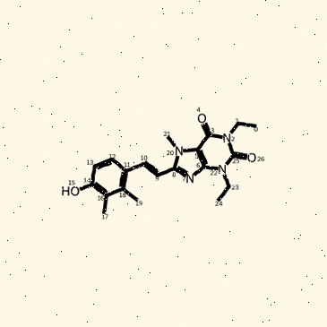 CCn1c(=O)c2c(nc(/C=C/c3ccc(O)c(C)c3C)n2C)n(CC)c1=O